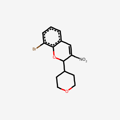 O=[N+]([O-])C1=Cc2cccc(Br)c2OC1C1CCOCC1